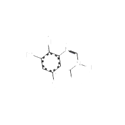 CCN(C)/C=N\c1cc(C)cc(Br)c1Cl